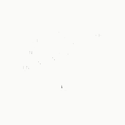 CCCCOC(=O)c1cc2c(C)nc(N)nc2n([C@H]2CC[C@H](C)CC2)c1=O